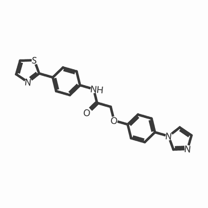 O=C(COc1ccc(-n2ccnc2)cc1)Nc1ccc(-c2nccs2)cc1